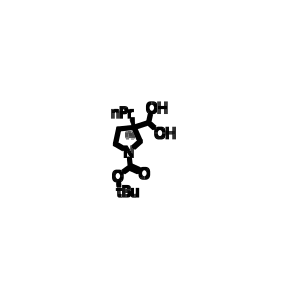 CCC[C@]1(C(O)O)CCN(C(=O)OC(C)(C)C)C1